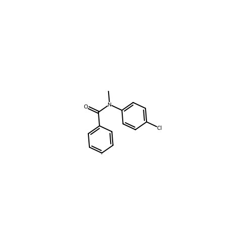 CN(C(=O)c1cc[c]cc1)c1ccc(Cl)cc1